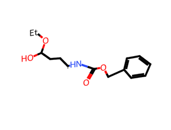 CCOC(O)CC[CH]NC(=O)OCc1ccccc1